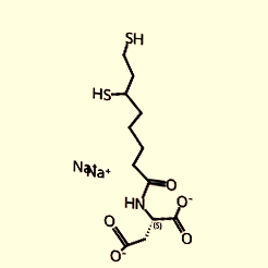 O=C([O-])C[C@H](NC(=O)CCCCC(S)CCS)C(=O)[O-].[Na+].[Na+]